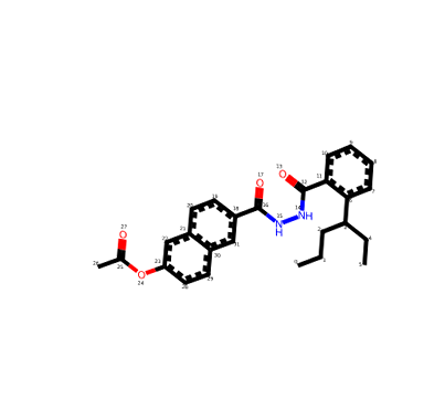 CCCC(CC)c1ccccc1C(=O)NNC(=O)c1ccc2cc(OC(C)=O)ccc2c1